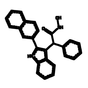 O=C(NO)C(c1ccccc1)c1c(-c2ccc3ccccc3c2)[nH]c2ccccc12